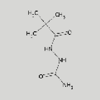 CC(C)(C)C(=O)NNC(N)=O